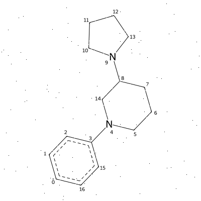 [c]1ccc(N2CCCC(N3CCCC3)C2)cc1